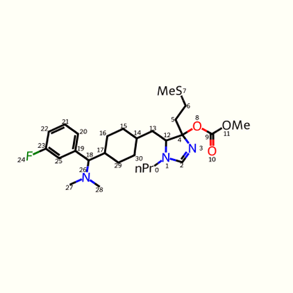 CCCN1C=NC(CCSC)(OC(=O)OC)C1CC1CCC(C(c2cccc(F)c2)N(C)C)CC1